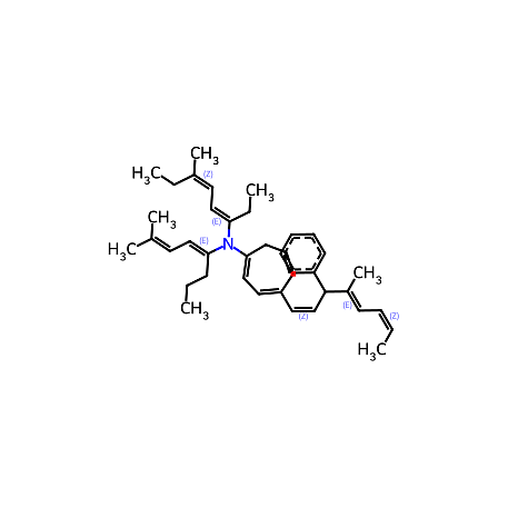 C/C=C\C=C(/C)C(/C=C\C1=CC=C(N(/C(=C/C=C(/C)CC)CC)/C(=C/C=C(C)C)CCC)CC=C1)c1ccccc1